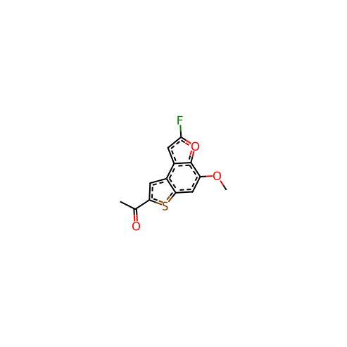 COc1cc2sc(C(C)=O)cc2c2cc(F)oc12